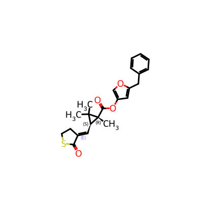 CC1(C)[C@H](/C=C2\CCSC2=O)[C@@]1(C)C(=O)Oc1coc(Cc2ccccc2)c1